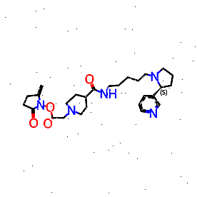 C=C1CCC(=O)N1OC(=O)CN1CCC(C(=O)NCCCCCN2CCC[C@H]2c2cccnc2)CC1